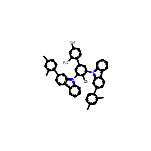 Cc1ccc(-c2ccc3c4ccccc4n(-c4cc(-c5ccc(C#N)cc5C(F)(F)F)cc(-n5c6ccccc6c6ccc(-c7ccc(C)cc7C)cc65)c4C#N)c3c2)c(C)c1